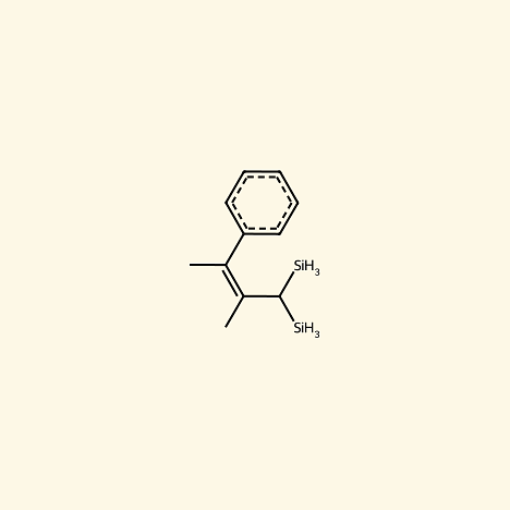 CC(=C(C)C([SiH3])[SiH3])c1ccccc1